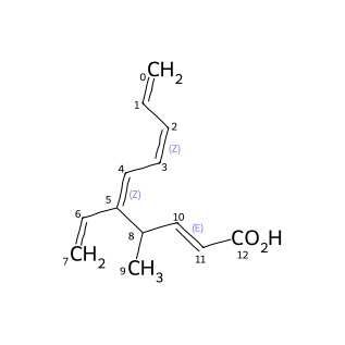 C=C/C=C\C=C(\C=C)C(C)/C=C/C(=O)O